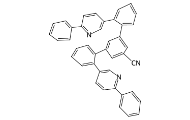 N#Cc1cc(-c2ccccc2-c2ccc(-c3ccccc3)nc2)cc(-c2ccccc2-c2ccc(-c3ccccc3)nc2)c1